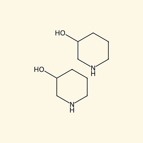 OC1CCCNC1.OC1CCCNC1